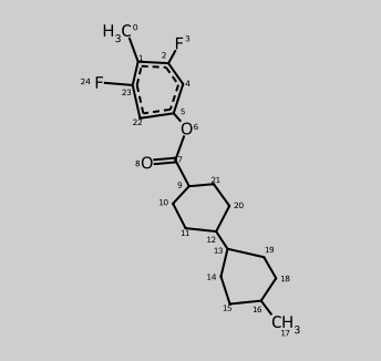 Cc1c(F)cc(OC(=O)C2CCC(C3CCC(C)CC3)CC2)cc1F